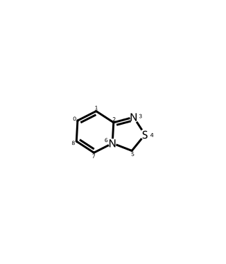 C1=CC2=NSCN2C=C1